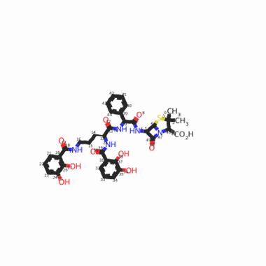 CC1(C)SC2C(NC(=O)C(NC(=O)[C@H](CCCNC(=O)c3cccc(O)c3O)NC(=O)c3cccc(O)c3O)c3ccccc3)C(=O)N2C1C(=O)O